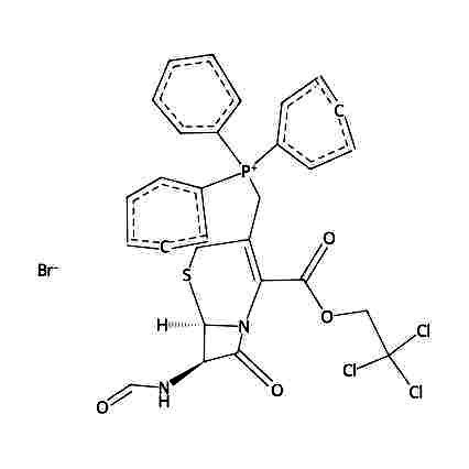 O=CN[C@@H]1C(=O)N2C(C(=O)OCC(Cl)(Cl)Cl)=C(C[P+](c3ccccc3)(c3ccccc3)c3ccccc3)CS[C@H]12.[Br-]